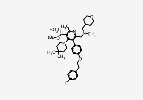 Cc1nc(CN(C)CC2CCOCC2)c(-c2ccc(OCCc3ccc(F)cc3)cc2)c(N2CCC(C)(C)CC2)c1[C@H](OC(C)(C)C)C(=O)O